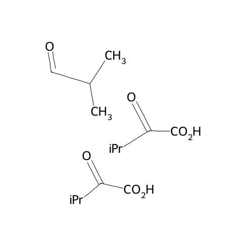 CC(C)C(=O)C(=O)O.CC(C)C(=O)C(=O)O.CC(C)C=O